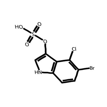 O=S(=O)(O)Oc1c[nH]c2ccc(Br)c(Cl)c12